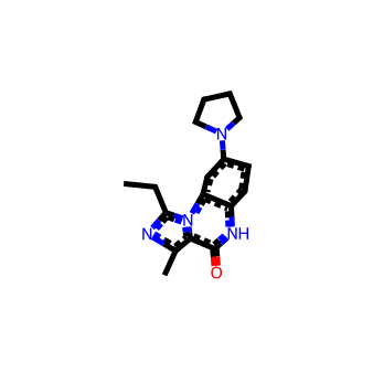 CCc1nc(C)c2c(=O)[nH]c3ccc(N4CCCC4)cc3n12